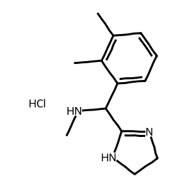 CNC(C1=NCCN1)c1cccc(C)c1C.Cl